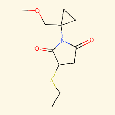 CCSC1CC(=O)N(C2(COC)CC2)C1=O